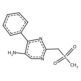 CS(=O)(=O)Cc1ncc(N)c(-c2ccccc2)n1